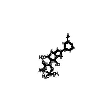 Cc1nc2cc(-c3cccc(Br)c3)nn2c(Cl)c1C(OC(C)(C)C)C(=O)O